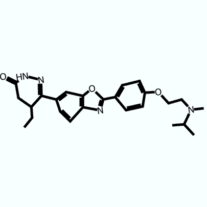 CCC1CC(=O)NN=C1c1ccc2nc(-c3ccc(OCCN(C)C(C)C)cc3)oc2c1